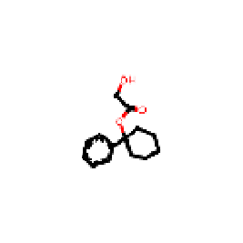 O=C(CO)OC1(c2ccccc2)CCCCC1